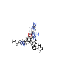 CC(C)CC1CCN=C(C(=O)N[C@@H]2CCN(C#N)C2)c2ccc(-c3cnn(C)c3)cc21